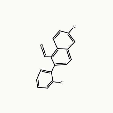 O=Cc1c(-c2ccccc2Cl)ccc2cc(Cl)ccc12